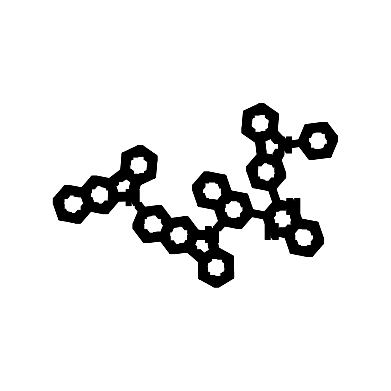 c1ccc(-n2c3ccccc3c3ccc(-c4nc5ccccc5nc4-c4cc(-n5c6ccccc6c6cc7ccc(-n8c9ccccc9c9cc%10ccccc%10cc98)cc7cc65)c5ccccc5c4)cc32)cc1